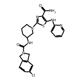 NC(=O)c1nc(N2CCCC(NC(=O)N3Cc4ccc(Cl)cc4C3)C2)sc1Nc1ccccn1